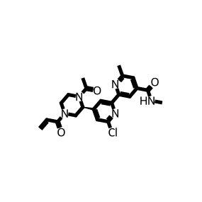 C=CC(=O)N1CCN(C(C)=O)[C@@H](c2cc(Cl)nc(-c3cc(C(=O)NC)cc(C)n3)c2)C1